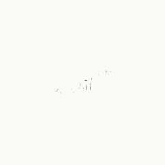 COc1ccc(NC(=O)c2cc3cc(C4CCN(C(C)C)CC4)ccc3[nH]2)cc1